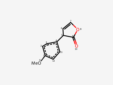 COc1ccc(C2C=COC2=O)cc1